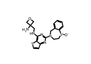 NC1(CNc2nc(N3CC[S@+]([O-])c4ccccc4C3)nc3ccsc23)COC1